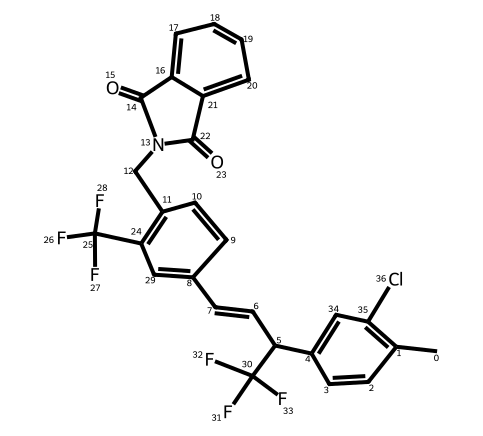 Cc1ccc(C(/C=C/c2ccc(CN3C(=O)c4ccccc4C3=O)c(C(F)(F)F)c2)C(F)(F)F)cc1Cl